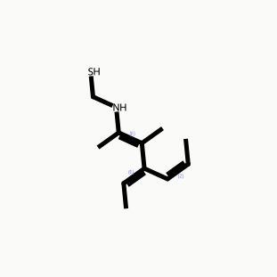 C\C=C/C(=C\C)C(/C)=C(\C)NCS